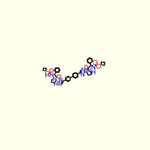 O=C(N[C@@H](C(=O)N1CCC[C@H]1c1nc(-c2ccc(-c3ccc(-c4c[nH]c([C@@H]5CCCN5C(=O)[C@H](NC(=O)OC5CCC5)c5ccccc5)n4)cc3)cc2)c[nH]1)c1ccccc1)OC1CCC1